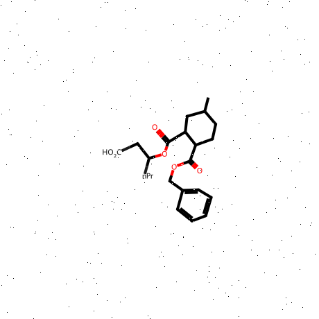 CCCC(CC(=O)O)OC(=O)C1CC(C)CCC1C(=O)OCc1ccccc1